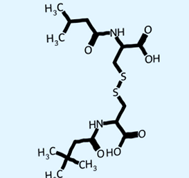 CC(C)CC(=O)NC(CSSCC(NC(=O)CC(C)(C)C)C(=O)O)C(=O)O